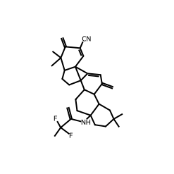 C=C1C=C2C34C=C(C#N)C(=C)C(C)(C)C3CCC24C2CCC3(NC(=C)C(C)(F)F)CCC(C)(C)CC3C12